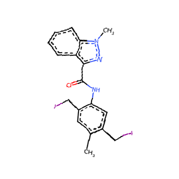 Cc1cc(CI)c(NC(=O)c2nn(C)c3ccccc23)cc1CI